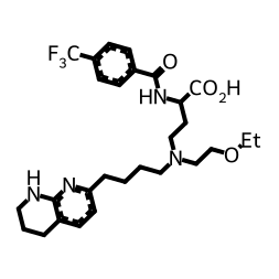 CCOCCN(CCCCc1ccc2c(n1)NCCC2)CCC(NC(=O)c1ccc(C(F)(F)F)cc1)C(=O)O